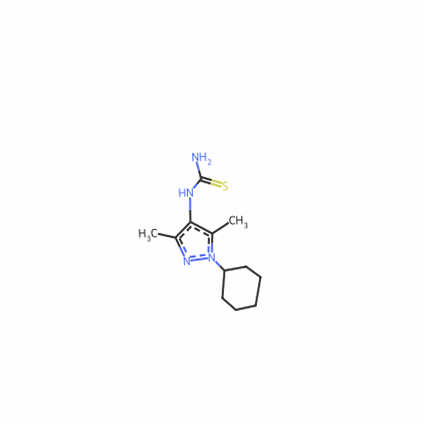 Cc1nn(C2CCCCC2)c(C)c1NC(N)=S